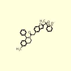 Cc1ccc2c(c1)CCN(C(=O)Cc1ccc3oc(C(C)(O)c4cccc[n+]4[O-])cc3c1)C2c1ccccc1